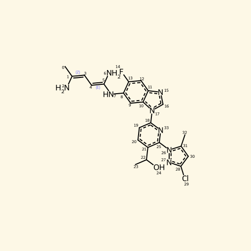 C/C(N)=C/C=C(\N)Nc1cc2c(cc1F)ncn2-c1ccc(C(C)O)c(-n2nc(Cl)cc2C)n1